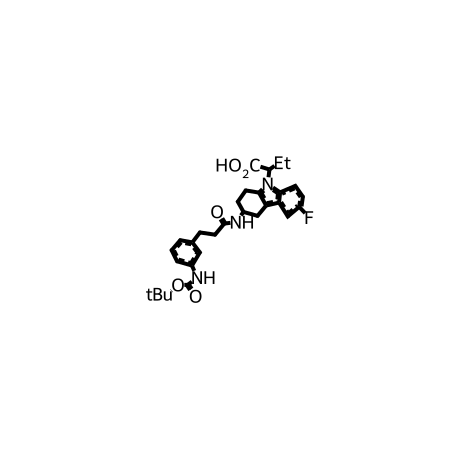 CCC(C(=O)O)n1c2c(c3cc(F)ccc31)CC(NC(=O)CCc1cccc(NC(=O)OC(C)(C)C)c1)CC2